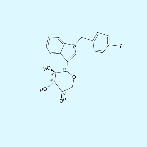 O[C@@H]1[C@@H](O)[C@H](c2cn(Cc3ccc(F)cc3)c3ccccc23)OC[C@H]1O